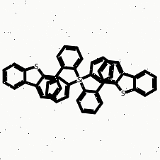 c1ccc([Si](c2ccccc2)(c2ccccc2-c2cccc3c2sc2ccccc23)c2ccccc2-c2cccc3c2sc2ccccc23)cc1